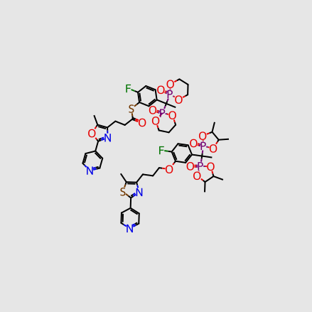 Cc1oc(-c2ccncc2)nc1CCC(=O)Sc1cc(C(C)(P2(=O)OCCCO2)P2(=O)OCCCO2)ccc1F.Cc1sc(-c2ccncc2)nc1CCCOc1cc(C(C)(P2(=O)OC(C)C(C)O2)P2(=O)OC(C)C(C)O2)ccc1F